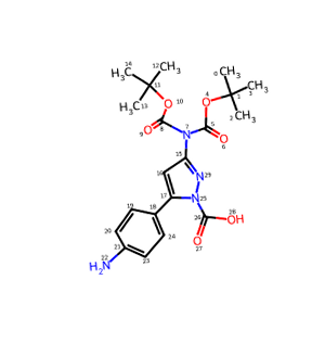 CC(C)(C)OC(=O)N(C(=O)OC(C)(C)C)c1cc(-c2ccc(N)cc2)n(C(=O)O)n1